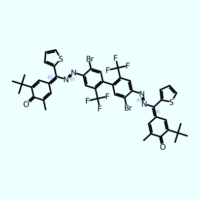 CC1=C/C(=C(\N=N\c2cc(C(F)(F)F)c(-c3cc(Br)c(/N=N/C(=C4\C=C(C)C(=O)C(C(C)(C)C)=C4)c4cccs4)cc3C(F)(F)F)cc2Br)c2cccs2)C=C(C(C)(C)C)C1=O